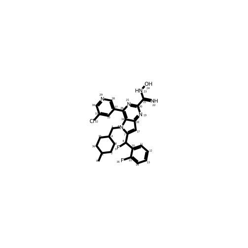 CC1CCC(Cn2c(C(F)c3ccccc3F)cc3nc(C(=N)NO)nc(-c4cncc(Cl)c4)c32)CC1